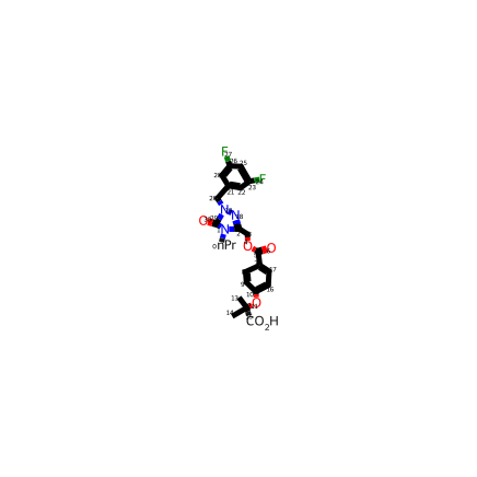 CCCn1c(COC(=O)c2ccc(OC(C)(C)C(=O)O)cc2)nn(Cc2cc(F)cc(F)c2)c1=O